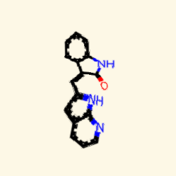 O=C1Nc2ccccc2/C1=C/c1cc2cccnc2[nH]1